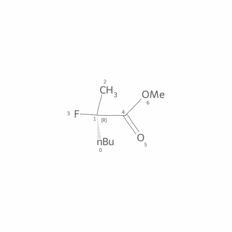 CCCC[C@@](C)(F)C(=O)OC